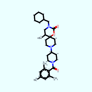 CCCCC1CN(CC2CCCCC2)C(=O)OC12CCN(C1CCN(C(=O)c3c(C)cc(C#N)cc3C)CC1)CC2